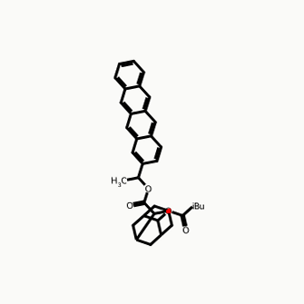 CCC(C)C(=O)OC1C2CC3CC1CC(C2)C3C(=O)OC(C)c1ccc2cc3cc4ccccc4cc3cc2c1